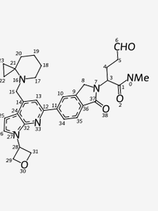 CNC(=O)C(CCC=O)N1Cc2cc(-c3cc(CN4CCCCC45CC5)c4ccn(C5COC5)c4n3)ccc2C1=O